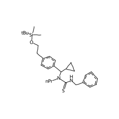 CCCN(C(=S)NCc1ccccc1)C(c1ccc(CCO[Si](C)(C)C(C)(C)C)cc1)C1CC1